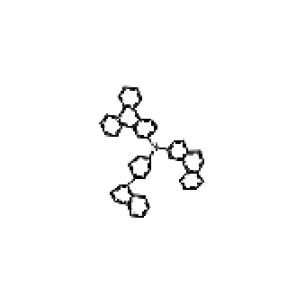 c1ccc2c(-c3ccc(N(c4ccc5ccc6ccccc6c5c4)c4ccc5c6ccccc6c6ccccc6c5c4)cc3)cccc2c1